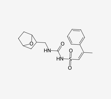 CC(=CS(=O)(=O)NC(=O)NCC1CC2CCC1O2)c1ccccc1